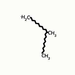 [CH2]CCCCCCCCCC(C)CCCCCCCCCC